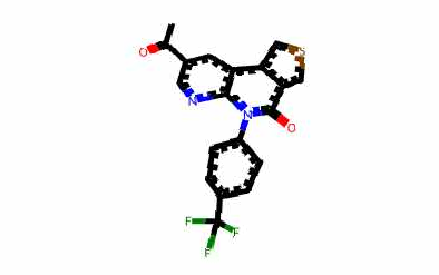 CC(=O)c1cnc2c(c1)c1cscc1c(=O)n2-c1ccc(C(F)(F)F)cc1